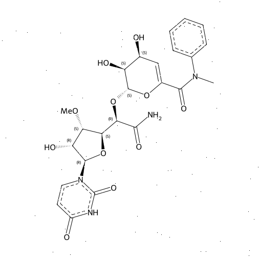 CO[C@H]1[C@@H](O)[C@H](n2ccc(=O)[nH]c2=O)O[C@@H]1[C@@H](O[C@H]1OC(C(=O)N(C)c2ccccc2)=C[C@H](O)[C@@H]1O)C(N)=O